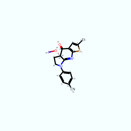 CCc1cc2c(s1)N=C1N(c3ccc(C#N)cc3)CC[C@@]1(OI)C2=O